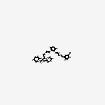 O=C(O)C(CC=C=CC[C@H]1CCC[C@@H]1/C=C/CCOc1cccc(F)c1)(OC1CCCCO1)OC1CCCCO1